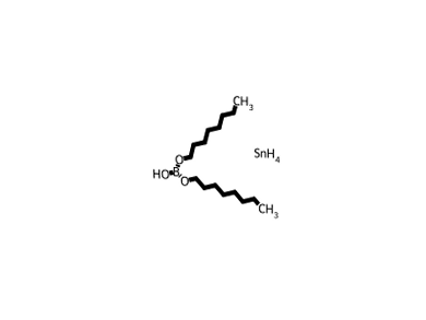 CCCCCCCCOB(O)OCCCCCCCC.[SnH4]